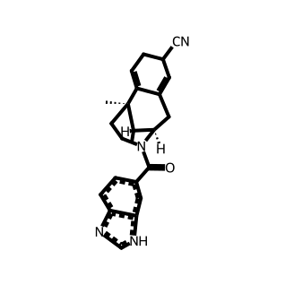 C[C@H]1[C@H]2CC3=CC(C#N)CC=C3[C@]1(C)CCN2C(=O)c1ccc2nc[nH]c2c1